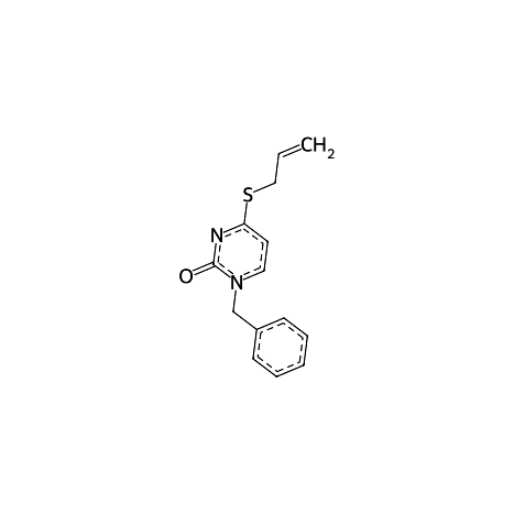 C=CCSc1ccn(Cc2ccccc2)c(=O)n1